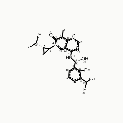 Cc1c(=O)n(C2C[C@@H]2C(F)F)cc2c(N[C@H](O)c3cccc(C(F)F)c3F)ncnc12